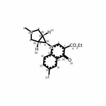 CCOC(=O)c1cn([C@H]2[C@@H]3CN(C)C[C@@H]32)c2ccc(I)cc2c1=O